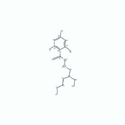 CCCCC([CH]OOC(=O)c1c(C)cc(C)cc1C)CC